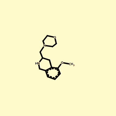 COc1cccc2c1CC(CN1CCOCC1)NC2